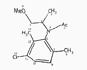 COCC(C)N(C(C)=O)c1c(C)ccc(Cl)c1C